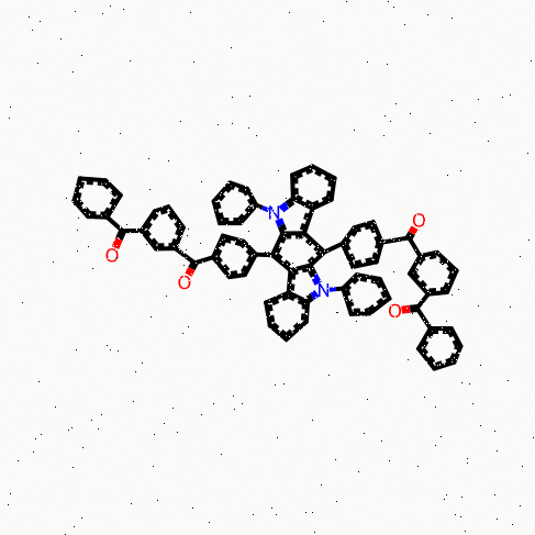 O=C(c1ccccc1)c1cccc(C(=O)c2ccc(-c3c4c5ccccc5n(-c5ccccc5)c4c(-c4ccc(C(=O)c5cccc(C(=O)c6ccccc6)c5)cc4)c4c5ccccc5n(-c5ccccc5)c34)cc2)c1